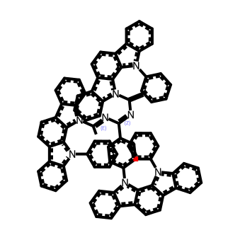 C=C(/N=C(\N=C(/C)n1c2ccccc2c2ccc3c4ccccc4n(-c4ccccc4)c3c21)c1ccc(-n2c3ccccc3c3ccc4c5ccccc5n(-c5ccccc5)c4c32)cc1)n1c2ccccc2c2ccc3c4ccccc4n(-c4ccccc4)c3c21